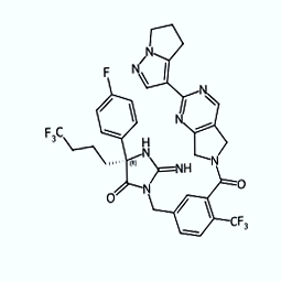 N=C1N[C@](CCCC(F)(F)F)(c2ccc(F)cc2)C(=O)N1Cc1ccc(C(F)(F)F)c(C(=O)N2Cc3cnc(-c4cnn5c4CCC5)nc3C2)c1